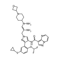 N/C(=C\N(N)C1CCN(C2COC2)CC1)Cn1cc(NC(=O)c2cnn3cccnc23)c(-c2cc(SC3CC3)ccc2OC(F)F)n1